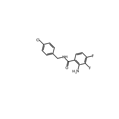 Nc1c(C(=O)NCc2ccc(Cl)cc2)ccc(F)c1F